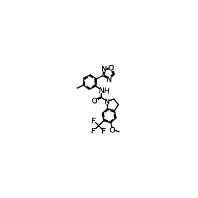 COc1cc2c(cc1C(F)(F)F)N(C(=O)Nc1cc(C)ccc1-c1ncon1)CC2